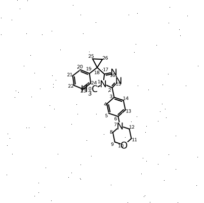 Cn1c(-c2ccc(N3CCOCC3)cc2)nnc1C1(c2ccccc2)CC1